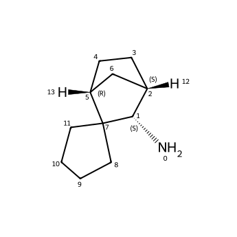 N[C@H]1[C@H]2CC[C@H](C2)C12CCCC2